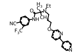 CCN(CCCOc1ccc(-c2ccncc2)nc1)C(C)(C)C(=O)Nc1ccc(C#N)c(C(F)(F)F)c1